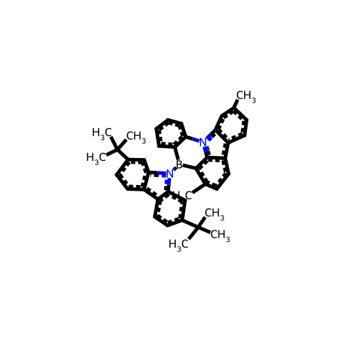 Cc1ccc2c3ccc(C)c4c3n(c2c1)-c1ccccc1B4n1c2cc(C(C)(C)C)ccc2c2ccc(C(C)(C)C)cc21